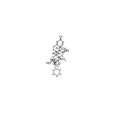 C[C@]12C=CC(=O)C=C1CC[C@H]1[C@@H]3C[C@H]4O[C@@H](C5CCCCC5)O[C@@]4(C(=O)CO)[C@@]3(C)C[C@H](O)[C@@]12F